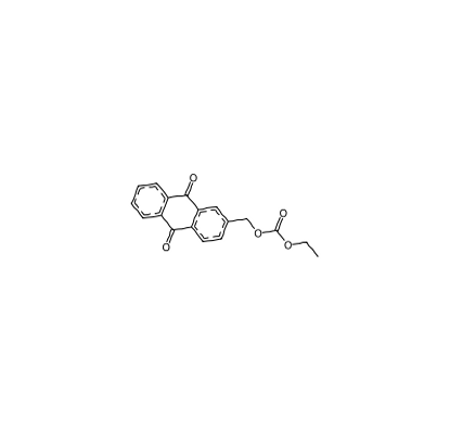 CCOC(=O)OCc1ccc2c(c1)C(=O)c1ccccc1C2=O